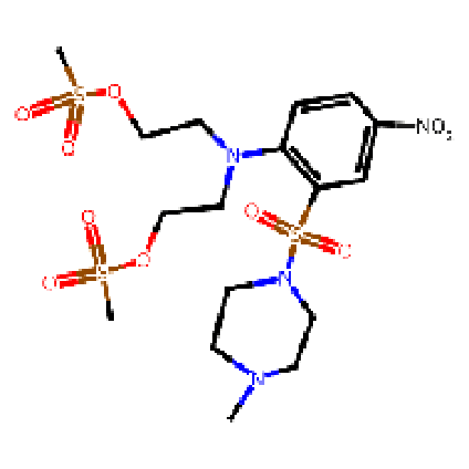 CN1CCN(S(=O)(=O)c2cc([N+](=O)[O-])ccc2N(CCOS(C)(=O)=O)CCOS(C)(=O)=O)CC1